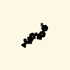 O=C(Nc1cn2nc(Sc3nnc4ccc(-c5cccc(F)c5)cn34)ccc2n1)C1CC1